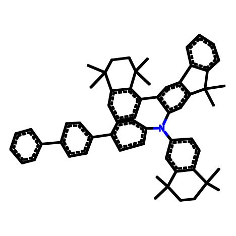 CC1(C)CCC(C)(C)c2cc(N(c3ccc(-c4ccc(-c5ccccc5)cc4)cc3)c3cc4c(cc3-c3cccc5c3C(C)(C)CCC5(C)C)-c3ccccc3C4(C)C)ccc21